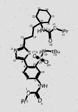 CC(C)OC(=O)Nc1ccc(-c2cnc(CCCC3(NC(=O)OC(C)C)CCCCC3)s2)c(S(=O)(=O)NC(C)(C)C)c1